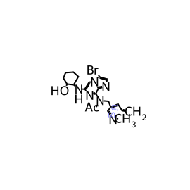 C=C/C=C(\C=N/C)CN(C(C)=O)c1nc(NC2CCCCC2O)cn2c(Br)cnc12